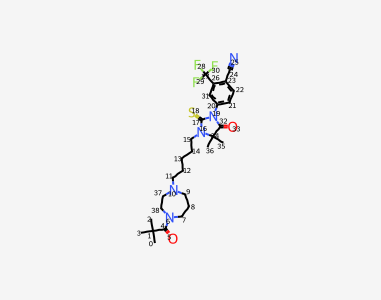 CC(C)(C)C(=O)N1CCCN(CCCCCN2C(=S)N(c3ccc(C#N)c(C(F)(F)F)c3)C(=O)C2(C)C)CC1